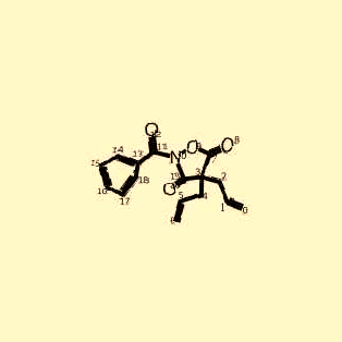 C=CCC1(CC=C)C(=O)ON(C(=O)c2ccccc2)C1=O